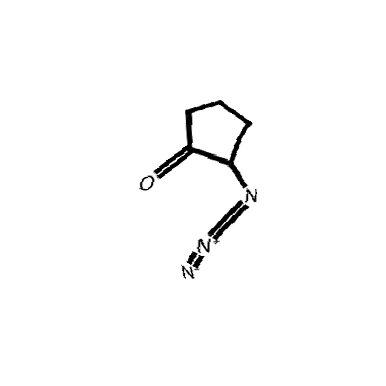 [N-]=[N+]=NC1CCCC1=O